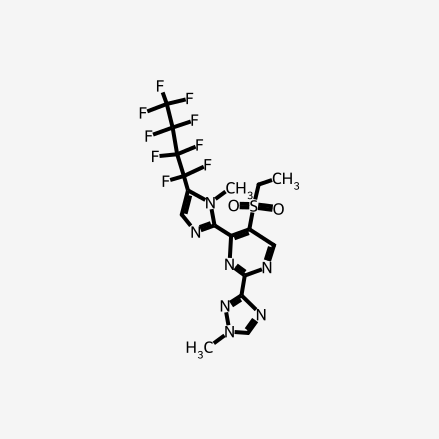 CCS(=O)(=O)c1cnc(-c2ncn(C)n2)nc1-c1ncc(C(F)(F)C(F)(F)C(F)(F)C(F)(F)F)n1C